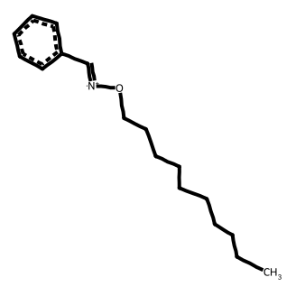 CCCCCCCCCCO[N+]=Cc1ccccc1